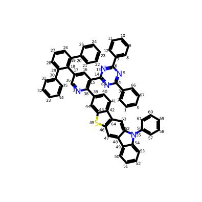 c1ccc(-c2nc(-c3ccccc3)nc(-c3cc(-c4c(-c5ccccc5)cccc4-c4ccccc4)cnc3-c3ccc4c(c3)sc3cc5c6ccccc6n(-c6ccccc6)c5cc34)n2)cc1